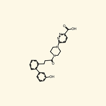 O=C(O)c1ccc(N2CCN(C(=O)CCc3ccccc3-c3cccc(O)c3)CC2)nn1